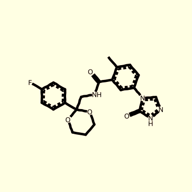 Cc1ccc(-n2cn[nH]c2=O)cc1C(=O)NCC1(c2ccc(F)cc2)OCCCO1